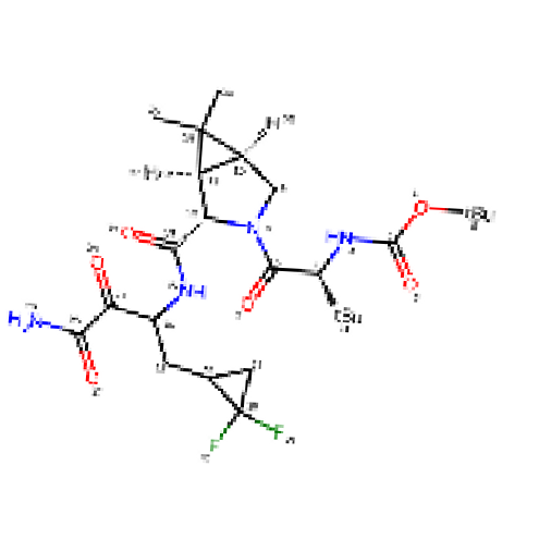 CC(C)(C)OC(=O)N[C@H](C(=O)N1C[C@H]2[C@@H]([C@H]1C(=O)NC(CC1CC1(F)F)C(=O)C(N)=O)C2(C)C)C(C)(C)C